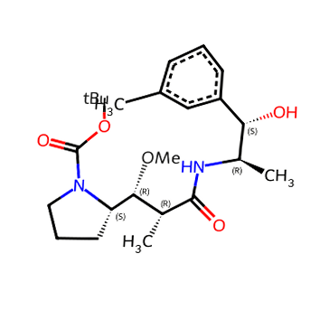 CO[C@H]([C@@H](C)C(=O)N[C@H](C)[C@@H](O)c1cccc(C)c1)[C@@H]1CCCN1C(=O)OC(C)(C)C